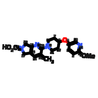 COc1ccc(OC2CCN(c3nc4c(cc3C)CN(C(=O)O)C4)CC2)cn1